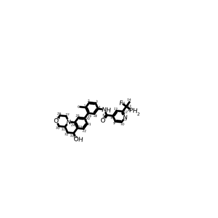 Cc1ccc(NC(=O)c2ccnc(C(C)(F)P)c2)cc1-c1ccc2c(c1)N1CCOCC1CC2O